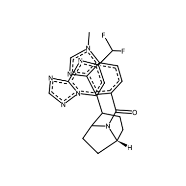 Cn1cnc2cc(C(=O)N3C4CC[C@H]3CCC4c3cc(C(F)F)nc4ncnn34)ccc21